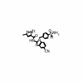 CCn1nc(C)cc1C(=O)Nc1nc2cc(C#N)ccc2n1Cc1ccc(S(N)(=O)=O)cc1